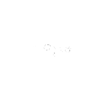 CCc1nnc(NC(=O)/C(C#N)=C/c2ccc(OCOCCOC)c(OC)c2)s1